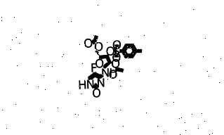 CC(=O)OC[C@H]1O[C@@H](Nc2nc(=O)[nH]cc2F)[C@H](OC(C)=O)[C@H]1OS(=O)(=O)c1ccc(C)cc1